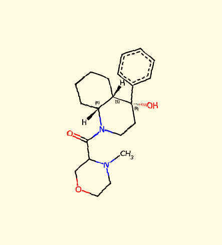 CN1CCOCC1C(=O)N1CC[C@](O)(c2ccccc2)[C@H]2CCCC[C@H]21